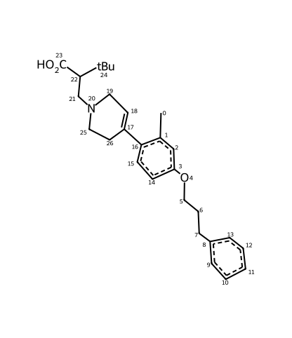 Cc1cc(OCCCc2ccccc2)ccc1C1=CCN(CC(C(=O)O)C(C)(C)C)CC1